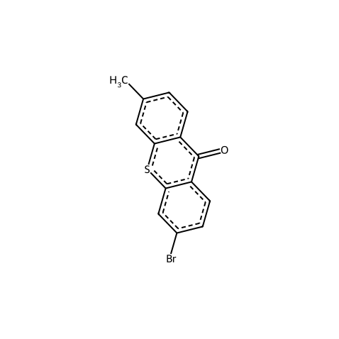 Cc1ccc2c(=O)c3ccc(Br)cc3sc2c1